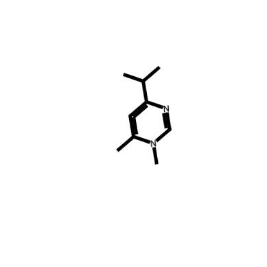 CC1=C=C(C(C)C)N=CN1C